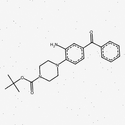 CC(C)(C)OC(=O)N1CCN(c2ccc(C(=O)c3ccccc3)cc2N)CC1